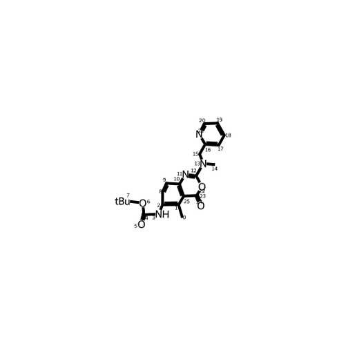 Cc1c(NC(=O)OC(C)(C)C)ccc2nc(N(C)Cc3ccccn3)oc(=O)c12